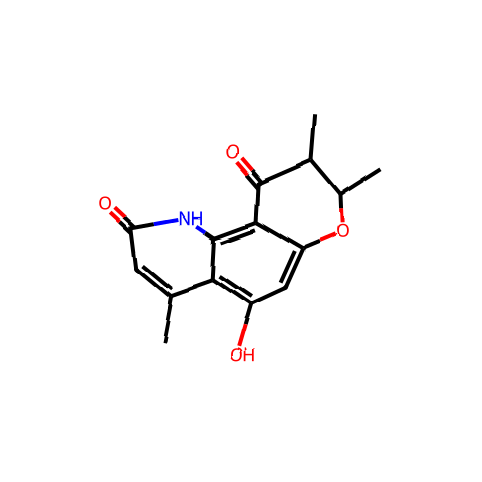 Cc1cc(=O)[nH]c2c3c(cc(O)c12)OC(C)C(C)C3=O